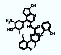 C[C@H]1CN(c2c(NC(=O)c3ccc(F)c(-c4c(F)cccc4F)n3)cnc3c2CC[C@H]3O)C[C@@H](N)[C@@H]1O.O=C(O)c1ccccc1O